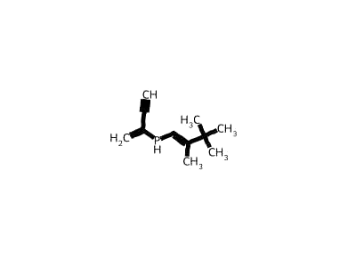 C#CC(=C)P/C=C(\C)C(C)(C)C